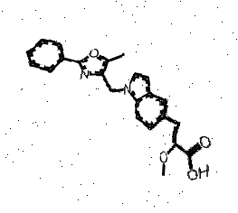 COC(=Cc1ccc2c(ccn2Cc2nc(-c3ccccc3)oc2C)c1)C(=O)O